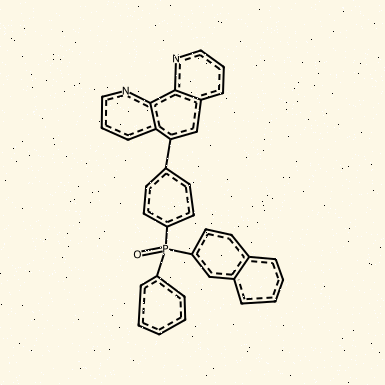 O=P(c1ccccc1)(c1ccc(-c2cc3cccnc3c3ncccc23)cc1)c1ccc2ccccc2c1